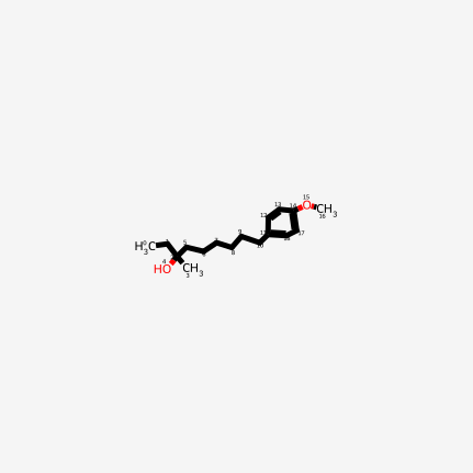 CCC(C)(O)CCCCCCc1ccc(OC)cc1